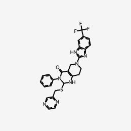 O=C1C2=C(CCN(c3nc4ccc(C(F)(F)F)cc4[nH]3)C2)NC(SCc2cnccn2)N1c1ccccc1